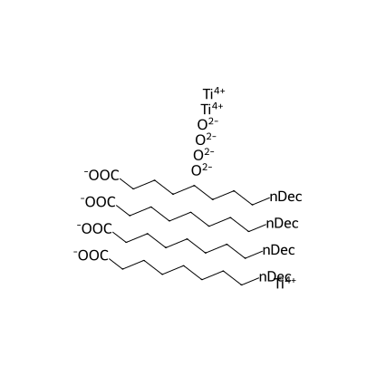 CCCCCCCCCCCCCCCCCC(=O)[O-].CCCCCCCCCCCCCCCCCC(=O)[O-].CCCCCCCCCCCCCCCCCC(=O)[O-].CCCCCCCCCCCCCCCCCC(=O)[O-].[O-2].[O-2].[O-2].[O-2].[Ti+4].[Ti+4].[Ti+4]